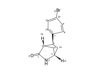 O=C1N[C@@H]2C[C@H]1[C@@H](c1ccc(Br)cc1)C2